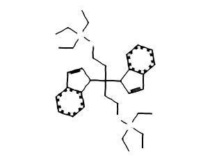 CC[Si](CC)(CC)OCCC(CCO[Si](CC)(CC)CC)(C1C=Cc2ccccc21)C1C=Cc2ccccc21